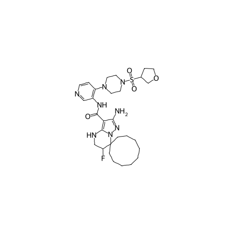 Nc1nn2c(c1C(=O)Nc1cnccc1N1CCN(S(=O)(=O)C3CCOC3)CC1)NCC(F)C21CCCCCCCCC1